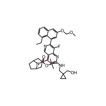 CCc1cccc2cc(OCOC)cc(-c3ncc4c(N5CC6CCC(C5)N6C(=O)OC(C)(C)C)nc(NCC5(CO)CC5)nc4c3F)c12